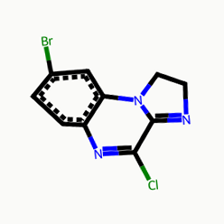 ClC1=Nc2ccc(Br)cc2N2CCN=C12